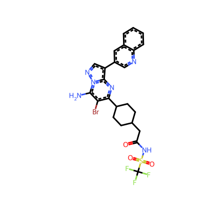 Nc1c(Br)c(C2CCC(CC(=O)NS(=O)(=O)C(F)(F)F)CC2)nc2c(-c3cnc4ccccc4c3)cnn12